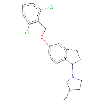 CC1CCN(C2CCc3cc(OCc4c(Cl)cccc4Cl)ccc32)C1